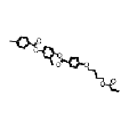 C=CC(=O)OCCCCOc1ccc(C(=O)Oc2ccc(OC(=O)c3ccc(C)cc3)cc2C)cc1